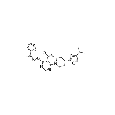 CC(=NOc1ncnc(N2CCC(c3nc(C(C)C)no3)CC2)c1[N+](=O)[O-])c1cccs1